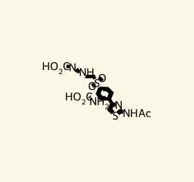 CC(=O)Nc1nc(-c2ccc(S(=O)(=O)CCNC=NC(=O)O)cc2)cs1.NC(=O)O